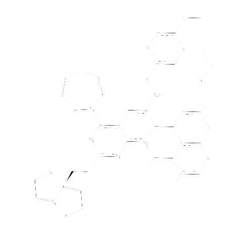 CCc1c(F)ccc2cc(OCOC)cc(-c3c(NCc4ccc(OC)cc4)cc4c(N5CCCOCC5)nc(OC[C@@]56CCCN5C[C@H](F)C6)nc4c3F)c12